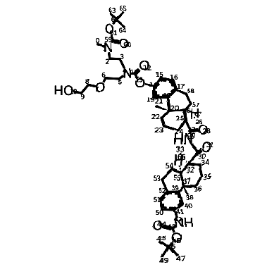 CN(CCN(CCOCCO)C(=O)Oc1ccc2c(c1)[C@@]1(C)CCC[C@](C)(C(=O)NC(=O)[C@@]3(C)CCC[C@]4(C)c5cc(NC(=O)OC(C)(C)C)ccc5CC[C@@H]34)[C@@H]1CC2)C(=O)OC(C)(C)C